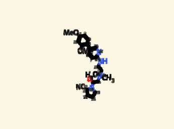 COc1ccc(-c2ccc(NCC[N+](C)(C)CC(=O)N3CCC[C@H]3C#N)nc2)c(OC)c1